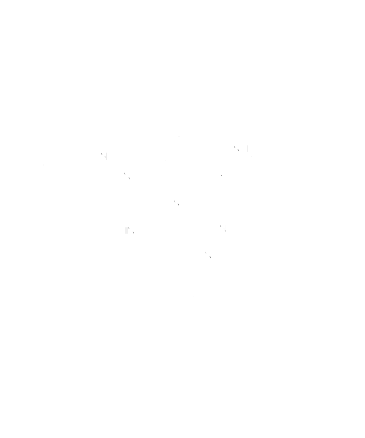 Cc1cc(Nc2nc(C(N)(c3ccc(F)cc3)C3CC3)nn3cccc23)n[nH]1